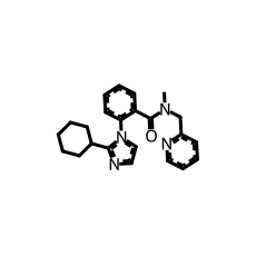 CN(Cc1ccccn1)C(=O)c1ccccc1-n1ccnc1C1CCCCC1